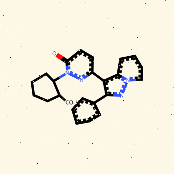 O=C(O)C1CCCCC1n1nc(-c2c(-c3ccccc3)nn3ccccc23)ccc1=O